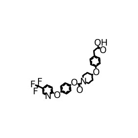 O=C(O)Cc1ccc(OC2CCN(C(=O)Oc3ccc(Oc4ccc(C(F)(F)F)cn4)cc3)CC2)cc1